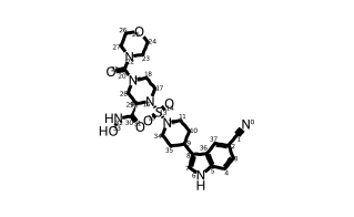 N#Cc1ccc2[nH]cc(C3CCN(S(=O)(=O)N4CCN(C(=O)N5CCOCC5)C[C@@H]4C(=O)NO)CC3)c2c1